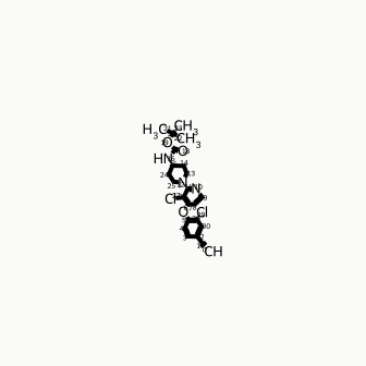 C#Cc1ccc(Oc2ccnc(N3CCC(NC(=O)OC(C)(C)C)CC3)c2Cl)c(Cl)c1